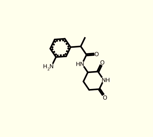 CC(C(=O)NC1CCC(=O)NC1=O)c1cccc(N)c1